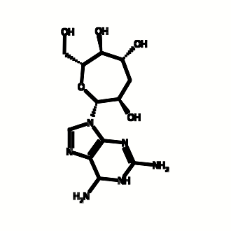 NC1=Nc2c(ncn2[C@@H]2O[C@H](CO)[C@@H](O)[C@H](O)C[C@H]2O)C(N)N1